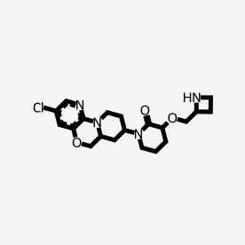 O=C1C(OCC2CCN2)CCCN1C1CCN2c3ncc(Cl)cc3OCC2C1